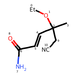 CCOC(C)(C=CC(N)=O)CC#N